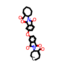 O=C/C1=C/CCCCCC1N1C(=O)c2ccc(Oc3ccc4c(c3)C(=O)N(C3CCCCC/C=C\3C=O)C4=O)cc2C1=O